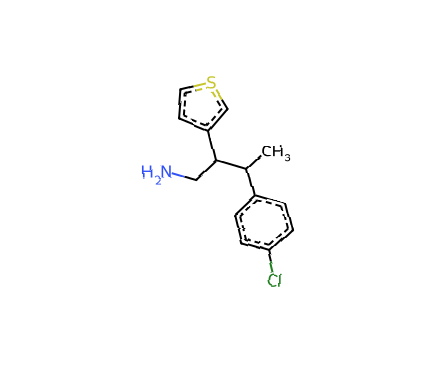 CC(c1ccc(Cl)cc1)C(CN)c1ccsc1